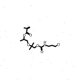 C=C(C)C(=O)OC(C)COC(C)(C)COC(=O)NCCCCl